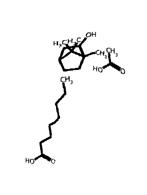 CC(=O)O.CC1(C)C2CCC1(C)C(O)C2.CCCCCCCC(=O)O